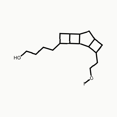 OCCCCC1CC2C3CC4CC(CCOI)C4C3C12